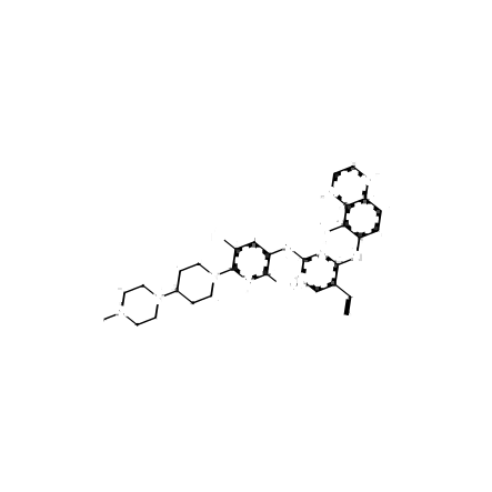 C=Cc1cnc(Nc2cc(CC)c(N3CCC(N4CCN(C)CC4)CC3)nc2OC)nc1Nc1ccc2nccnc2c1CC